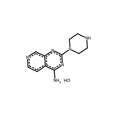 Cl.Nc1nc(N2CCNCC2)nc2cnccc12